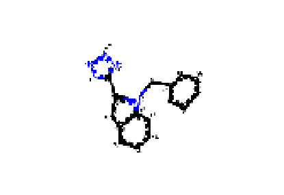 c1ccc(Cn2c(-c3nnn[nH]3)cc3ccccc32)cc1